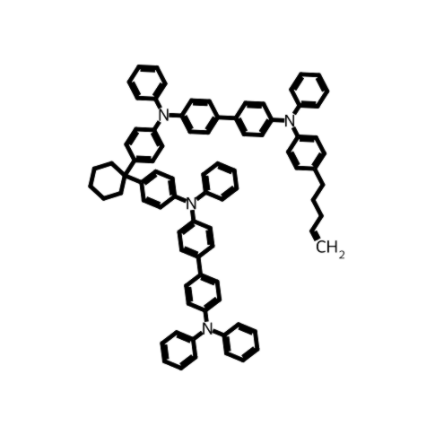 C=CCCCc1ccc(N(c2ccccc2)c2ccc(-c3ccc(N(c4ccccc4)c4ccc(C5(c6ccc(N(c7ccccc7)c7ccc(-c8ccc(N(c9ccccc9)c9ccccc9)cc8)cc7)cc6)CCCCC5)cc4)cc3)cc2)cc1